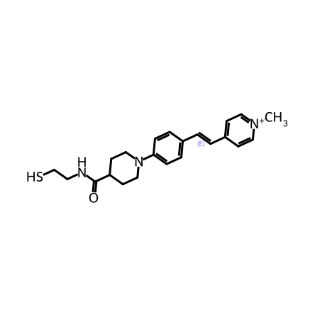 C[n+]1ccc(/C=C/c2ccc(N3CCC(C(=O)NCCS)CC3)cc2)cc1